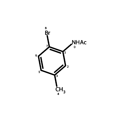 CC(=O)Nc1cc(C)ccc1Br